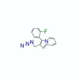 [N-]=[N+]=NCc1cc2ccccn2c1-c1ccccc1F